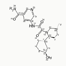 C[C@@H]1CC[C@@H]([C@H]2CCC[C@H](O)C2)N(C(=O)C(=O)Nc2cncc(C(N)=O)c2)C1